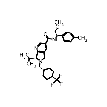 COC[C@H](NC(=O)c1cnc2c(c1)CN(C[C@H]1CC[C@H](C(F)(F)F)CC1)[C@H]2C(C)C)c1ccc(C)cc1